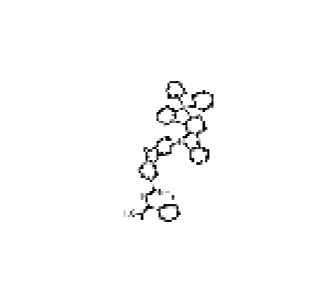 C/N=C(\N=C(/N)c1ccc2sc3ccc(-n4c5ccccc5c5ccc6c(c54)-c4ccccc4C64c5ccccc5-c5ccccc54)cc3c2c1)c1ccccc1